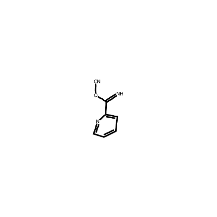 N#COC(=N)c1ccccn1